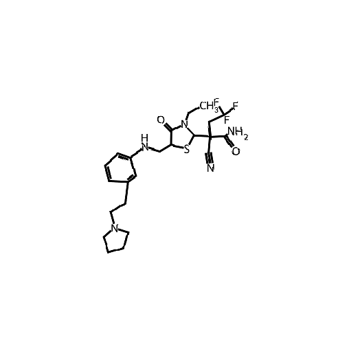 CCN1C(=O)C(CNc2cccc(CCN3CCCC3)c2)SC1C(C#N)(CC(F)(F)F)C(N)=O